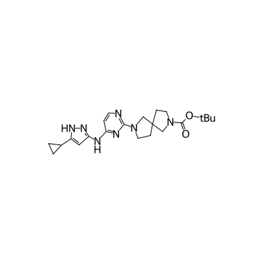 CC(C)(C)OC(=O)N1CCC2(CCN(c3nccc(Nc4cc(C5CC5)[nH]n4)n3)C2)C1